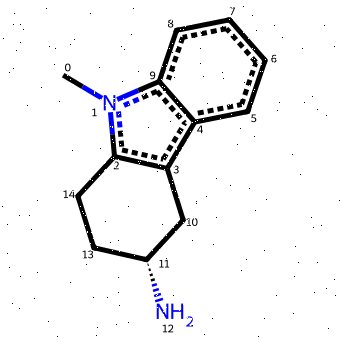 Cn1c2c(c3ccccc31)C[C@H](N)CC2